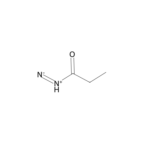 CCC(=O)[NH+]=[N-]